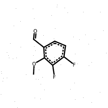 COc1c(C=O)ccc(F)c1F